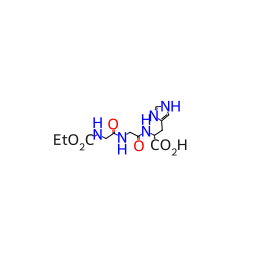 CCOC(=O)NCC(=O)NCC(=O)N[C@@H](Cc1c[nH]cn1)C(=O)O